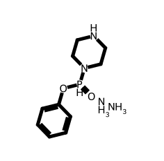 N.N.O=[PH](Oc1ccccc1)N1CCNCC1